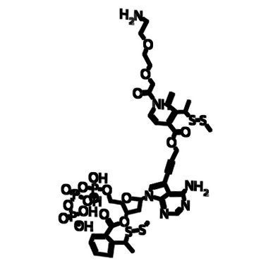 C=C/C(=C(\C=C/NC(=O)COCCOCCN)C(=O)OCC#Cc1cn([C@H]2C[C@@H](OC(=O)c3ccccc3C(C)SSC)C(COP(=O)(O)OP(=O)(O)OP(=O)(O)O)O2)c2ncnc(N)c12)C(C)SSC